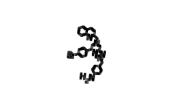 Nc1ccc(Cn2cnc(CN(CCc3ccc(Br)cc3)Cc3ccc4ccccc4n3)n2)cc1